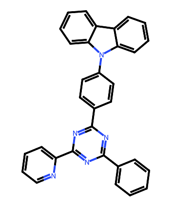 c1ccc(-c2nc(-c3ccc(-n4c5ccccc5c5ccccc54)cc3)nc(-c3ccccn3)n2)cc1